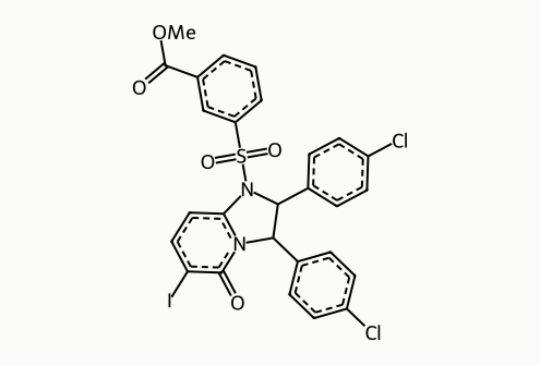 COC(=O)c1cccc(S(=O)(=O)N2c3ccc(I)c(=O)n3C(c3ccc(Cl)cc3)C2c2ccc(Cl)cc2)c1